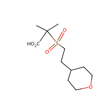 CC(C)(C(=O)O)S(=O)(=O)CCC1CCOCC1